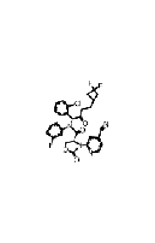 N#Cc1ccnc(N2C(=O)OC[C@H]2C(=O)N(c2cccc(F)c2)[C@H](C(=O)CCC2CC(F)(F)C2)c2ccccc2Cl)c1